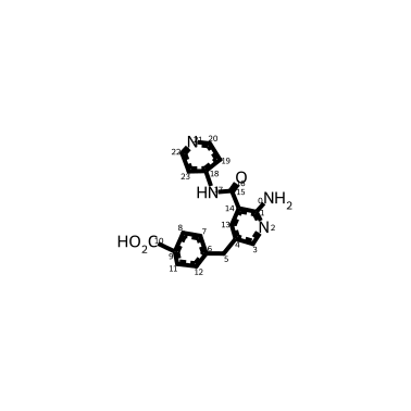 Nc1ncc(Cc2ccc(C(=O)O)cc2)cc1C(=O)Nc1ccncc1